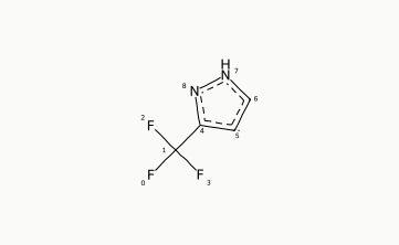 FC(F)(F)c1[c]c[nH]n1